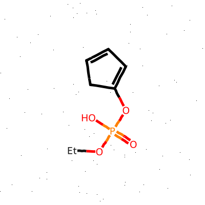 CCOP(=O)(O)OC1=CC=CC1